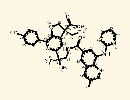 Cc1cnc2c(Nc3ncccn3)cc(C(=O)NC[C@](O)(c3cc4c(c(-c5ccc(F)cc5)n3)OC[C@]4(CF)C(N)=O)C(F)(F)F)cc2c1